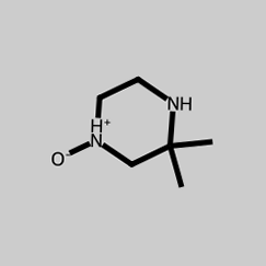 CC1(C)C[NH+]([O-])CCN1